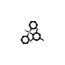 Cc1cc(C)c(S(F)(c2ccccc2)c2ccccc2)c(C)c1